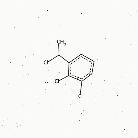 CC(Cl)c1cccc(Cl)c1Cl